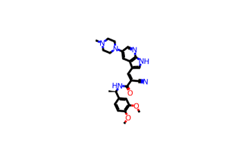 COc1ccc([C@@H](C)NC(=O)/C(C#N)=C/c2c[nH]c3ncc(N4CCN(C)CC4)cc23)cc1OC